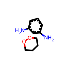 C1CCOOC1.Nc1cccc(N)c1